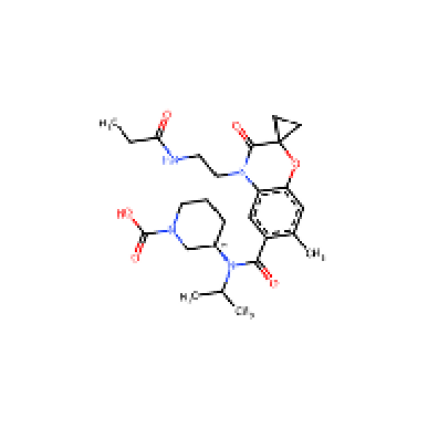 CCC(=O)NCCN1C(=O)C2(CC2)Oc2cc(C)c(C(=O)N(C(C)C)[C@@H]3CCCN(C(=O)O)C3)cc21